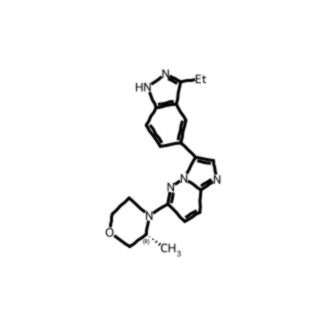 CCc1n[nH]c2ccc(-c3cnc4ccc(N5CCOC[C@H]5C)nn34)cc12